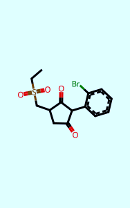 CCS(=O)(=O)CC1CC(=O)C(c2ccccc2Br)C1=O